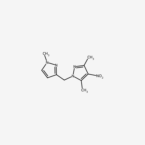 Cc1nn(Cc2ccn(C)n2)c(C)c1[N+](=O)[O-]